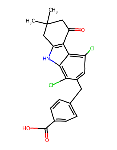 CC1(C)CC(=O)c2c([nH]c3c(Cl)c(Cc4ccc(C(=O)O)cc4)cc(Cl)c23)C1